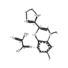 Cc1ccc2c(c1)N(C)C=C(C1=NCCN1)O2.O=C(O)C(=O)O